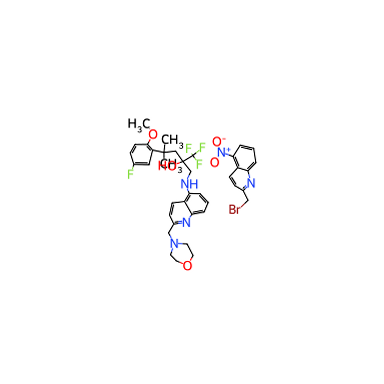 COc1ccc(F)cc1C(C)(C)CC(O)(CNc1cccc2nc(CN3CCOCC3)ccc12)C(F)(F)F.O=[N+]([O-])c1cccc2nc(CBr)ccc12